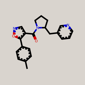 Cc1ccc(-c2oncc2C(=O)N2CCCC2Cc2cccnc2)cc1